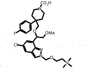 COCC(OCC1(c2ccc(F)cc2)CCN(C(=O)O)CC1)c1cc(Cl)cc2cn(COCC[Si](C)(C)C)nc12